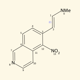 CN/C=C/c1ccc2cnccc2c1[N+](=O)[O-]